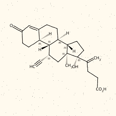 C#C[C@H]1C[C@@]2(C)[C@@H](CC[C@@]2(O)C(=C)CCC(=O)O)[C@@H]2CCC3=CC(=O)CC[C@@H]3[C@H]21